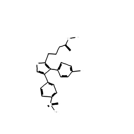 NS(=O)(=O)c1ccc(-c2coc(CCCC(=O)NO)c2-c2ccc(Cl)cc2)cc1